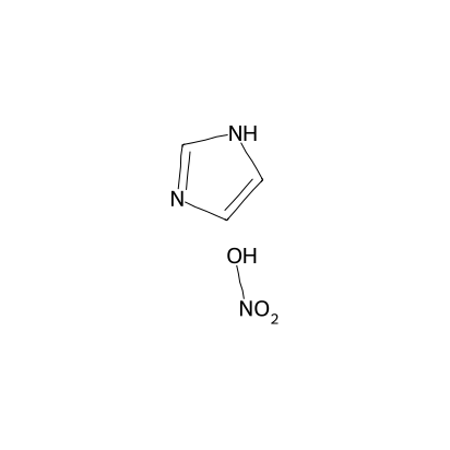 O=[N+]([O-])O.c1c[nH]cn1